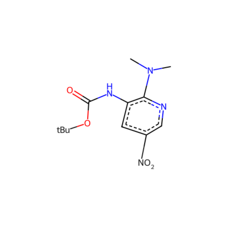 CN(C)c1ncc([N+](=O)[O-])cc1NC(=O)OC(C)(C)C